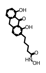 O=C(CCCCc1ccc2c(c1O)C(=O)c1c(O)cccc1C2)NO